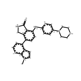 Cn1ccc2c(-c3ccc(Nc4ccc(N5CCOCC5)cn4)c4c3CNC4=O)ccnc21